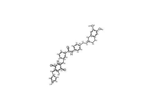 COc1cc2c(cc1OC)CN(CCc1ccc(NC(=O)c3cccc(/C=c4\[nH]c(=O)/c(=C/c5ccn(C)c5)n(C)c4=O)c3)cc1)CC2